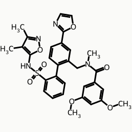 COc1cc(OC)cc(C(=O)N(C)Cc2cc(-c3ncco3)ccc2-c2ccccc2S(=O)(=O)Nc2onc(C)c2C)c1